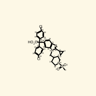 CS(=O)(=O)N1CCC(Cn2c(C3CC3)nc3ccc(C(C(=O)O)(c4ccc(Cl)cc4)c4ccc(Cl)cc4)cc32)CC1